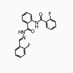 O=C(Nc1ccccc1C(=O)NN=Cc1ccccc1F)c1ccccc1F